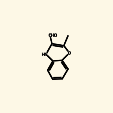 CC1=C(C=O)Nc2ccccc2O1